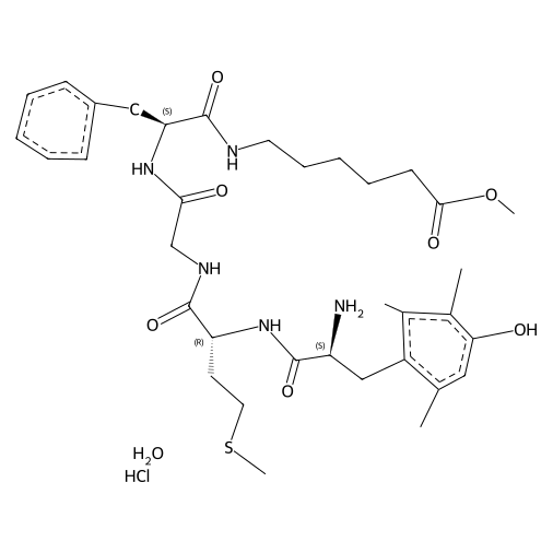 COC(=O)CCCCCNC(=O)[C@H](Cc1ccccc1)NC(=O)CNC(=O)[C@@H](CCSC)NC(=O)[C@@H](N)Cc1c(C)cc(O)c(C)c1C.Cl.O